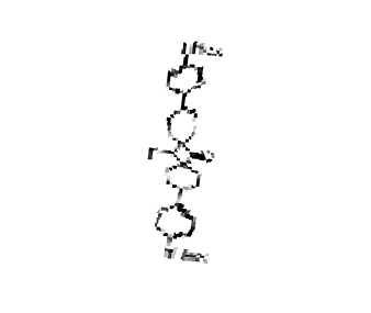 CCCCCCc1ccc(C2CCC3(CC2)C(=O)C2(CCC(c4ccc(CCCCCC)cc4)CC2)C3F)cc1